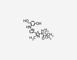 Cc1nc(NC(=O)C(C)(C)C)sc1-c1csc(Nc2cc(O)ccc2CO)n1